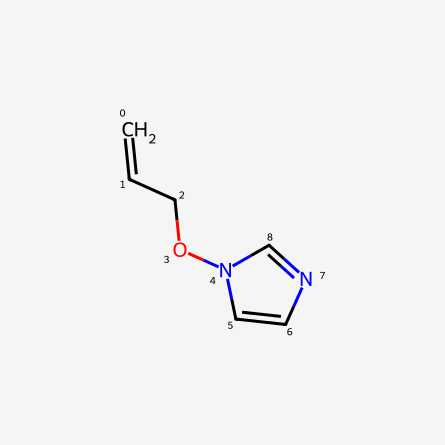 C=CCOn1ccnc1